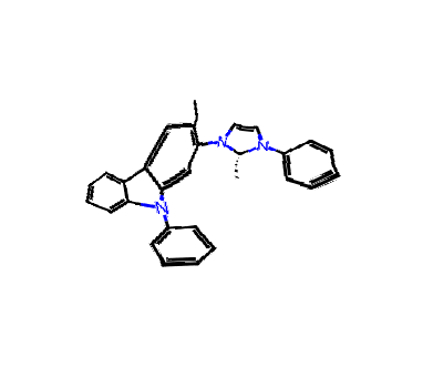 Cc1cc2c3ccccc3n(-c3ccccc3)c2cc1N1C=CN(c2ccccc2)[C@@H]1C